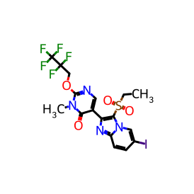 CCS(=O)(=O)c1c(-c2cnc(OCC(F)(F)C(F)(F)F)n(C)c2=O)nc2ccc(I)cn12